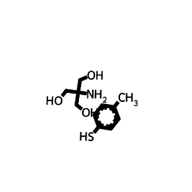 Cc1ccc(S)cc1.NC(CO)(CO)CO